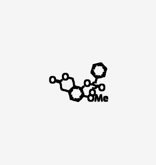 COc1ccc2c(c1OS(=O)(=O)c1ccccc1)COC(=O)C2